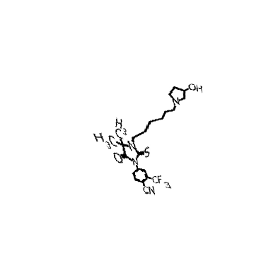 CC1(C)C(=O)N(c2ccc(C#N)c(C(F)(F)F)c2)C(=S)N1CCCCCCN1CCC(O)C1